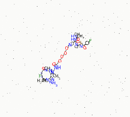 C=C1/C=C(F)\C=C/CC(=O)N(C)Cc2nn(CCNC(=O)CCOCCOCCOCCOCCN3CCC([C@@H](NC(=O)[C@@H](C)NC)C(=O)N4CCC[C@@H]4C4=NC(C(=O)c5ccc(F)cc5)CS4)CC3)c(C)c2-c2cnc(N)c(c2)N2CCC[C@H]12